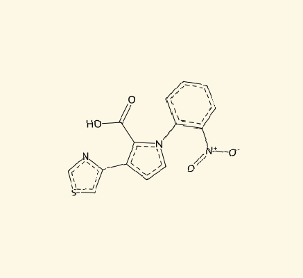 O=C(O)c1c(-c2cscn2)ccn1-c1ccccc1[N+](=O)[O-]